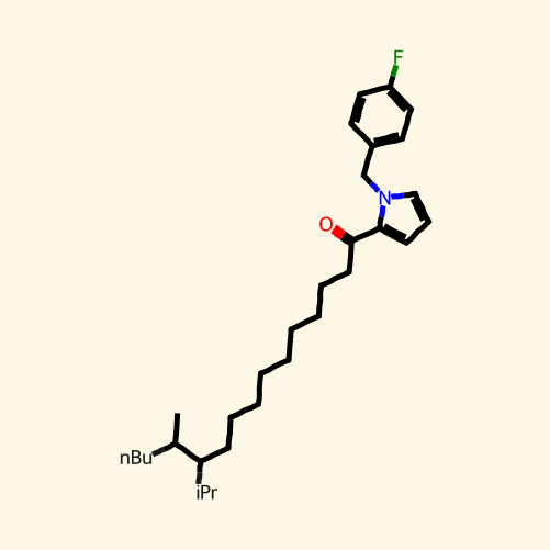 CCCCC(C)C(CCCCCCCCCC(=O)c1cccn1Cc1ccc(F)cc1)C(C)C